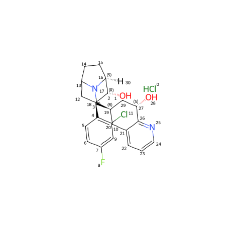 Cl.O[C@@H]1[C@@H](c2ccc(F)cc2Cl)CC2CC[C@@H]1N2C[C@@H]1Cc2cccnc2[C@@H](O)C1